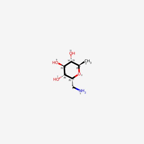 C[C@H]1O[C@H](CN)[C@H](O)[C@@H](O)[C@@H]1O